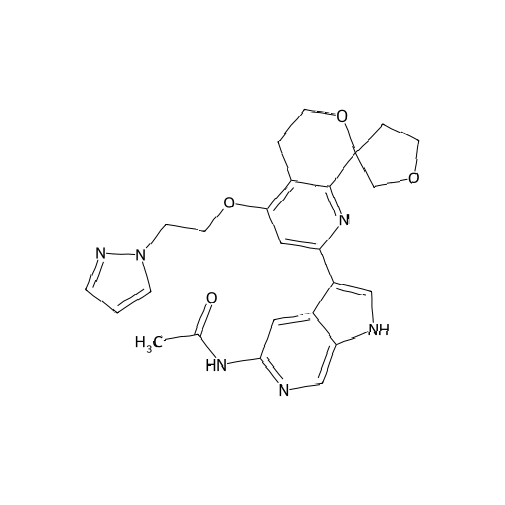 CC(=O)Nc1cc2c(-c3cc(OCCn4cccn4)c4c(n3)C3(CCOC3)OCC4)c[nH]c2cn1